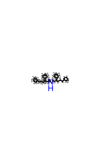 C1CCC(CCCC(CCNCCC(CCCC2CCCC2)C2CCCC2)C2CCCC2)C1